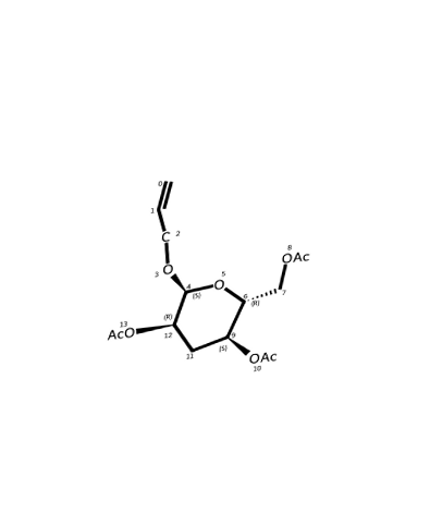 C=CCO[C@H]1O[C@H](COC(C)=O)[C@@H](OC(C)=O)C[C@H]1OC(C)=O